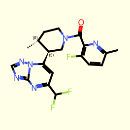 Cc1ccc(F)c(C(=O)N2CC[C@@H](C)[C@H](c3cc(C(F)F)nc4ncnn34)C2)n1